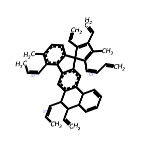 C=C/C=C\C1=C(C)C(C=C)=C(C=C)C12c1cc3c(cc1-c1c2ccc(C)c1/C=C\C)C(/C=C\C)C(C=C)C1C=CC=CC31